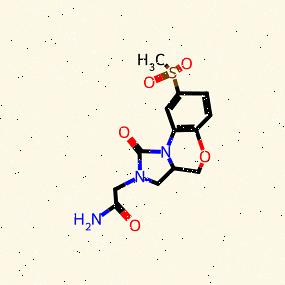 CS(=O)(=O)c1ccc2c(c1)N1C(=O)N(CC(N)=O)CC1CO2